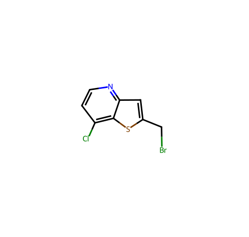 Clc1ccnc2cc(CBr)sc12